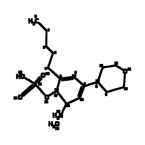 CCCCCC1=NC(N2CCOCC2)=CC(N)N1OS(=O)(=O)O.O